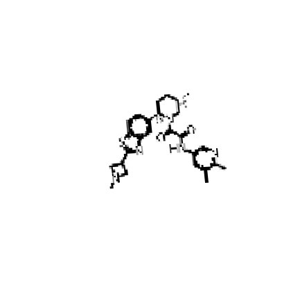 Cc1cc(NC(=O)C(=O)N2C[C@@H](C)CC[C@@H]2c2ccc3sc(C4CN(C)C4)nc3c2)cnc1C